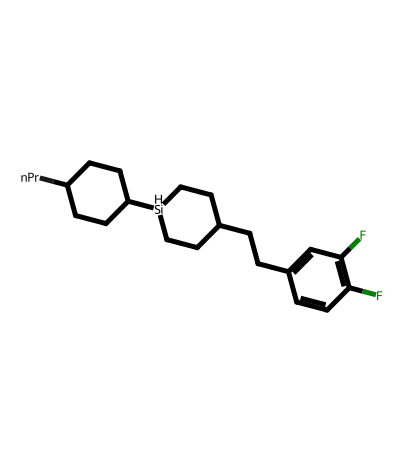 CCCC1CCC([SiH]2CCC(CCc3ccc(F)c(F)c3)CC2)CC1